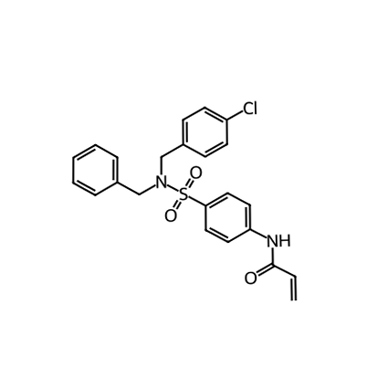 C=CC(=O)Nc1ccc(S(=O)(=O)N(Cc2ccccc2)Cc2ccc(Cl)cc2)cc1